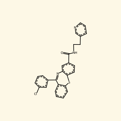 O=C(NCCc1cccnc1)c1ccc2c(c1)N=C(c1cccc(Cl)c1)c1ccccc1S2